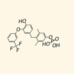 Cc1cc(OP(=O)(O)O)cc(C)c1Cc1ccc(O)c(Oc2cccc(C(F)(F)F)c2)c1